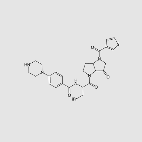 CC(C)CC(NC(=O)c1ccc(N2CCNCC2)cc1)C(=O)N1CCC2C1C(=O)CN2C(=O)c1ccsc1